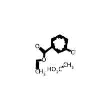 C=COC(=O)c1cccc(Cl)c1.CC(=O)O